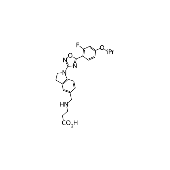 CC(C)Oc1ccc(-c2nc(N3CCc4cc(CNCCC(=O)O)ccc43)no2)c(F)c1